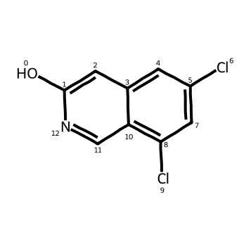 Oc1cc2cc(Cl)cc(Cl)c2cn1